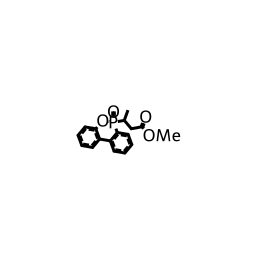 COC(=O)CC(C)P1(=O)Oc2ccccc2-c2ccccc21